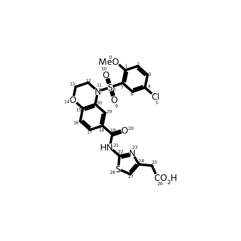 COc1ccc(Cl)cc1S(=O)(=O)N1CCOc2ccc(C(=O)Nc3nc(CC(=O)O)cs3)cc21